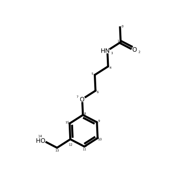 CC(=O)NCCCOc1cc[c]c(CO)c1